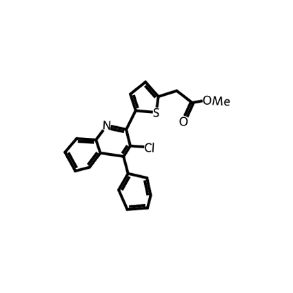 COC(=O)Cc1ccc(-c2nc3ccccc3c(-c3ccccc3)c2Cl)s1